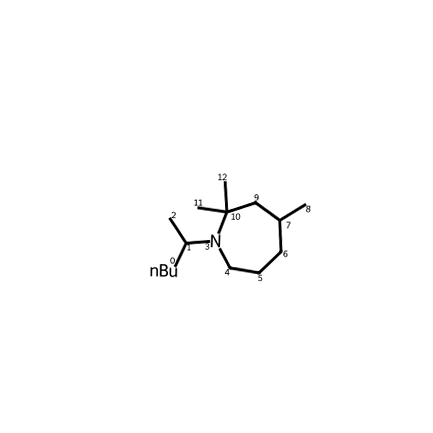 CCCCC(C)N1CCCC(C)CC1(C)C